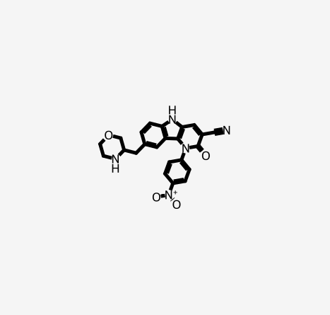 N#Cc1cc2[nH]c3ccc(CC4COCCN4)cc3c2n(-c2ccc([N+](=O)[O-])cc2)c1=O